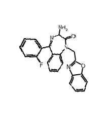 NC1N=C(c2ccccc2F)c2ccccc2N(Cc2nc3ccccc3o2)C1=O